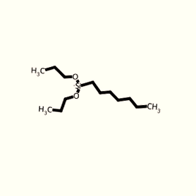 CCCCCCC[Si](OCCC)OCCC